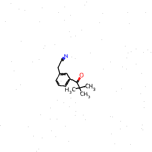 CC(C)(C)C(=O)c1cccc(CC#N)c1